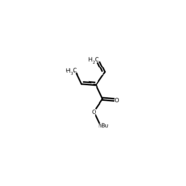 C=CC(=CC)C(=O)OCCCC